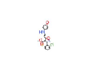 COC(=O)c1c(-c2c(F)cccc2Cl)noc1C=CNc1ccc(OC)cc1